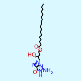 CCCCCCCCCCCCCCCCCC(=O)OCCC(CO)Cn1cnc2c(=O)[nH]c(N)nc21